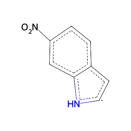 O=[N+]([O-])c1ccc2c[c][nH]c2c1